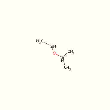 C[SiH]O[SiH](C)C